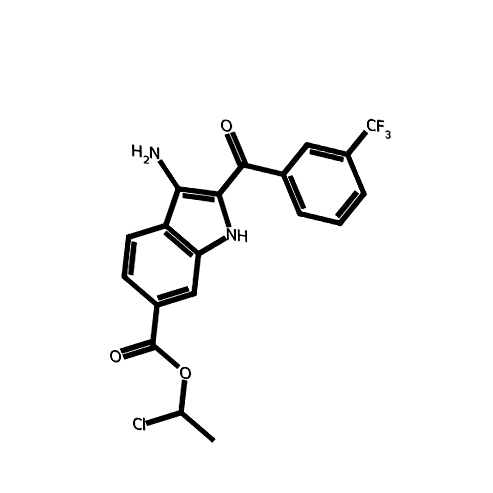 CC(Cl)OC(=O)c1ccc2c(N)c(C(=O)c3cccc(C(F)(F)F)c3)[nH]c2c1